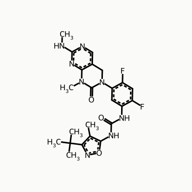 CNc1ncc2c(n1)N(C)C(=O)N(c1cc(NC(=O)Nc3onc(C(C)(C)C)c3C)c(F)cc1F)C2